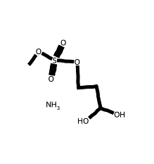 COS(=O)(=O)OCCC(O)O.N